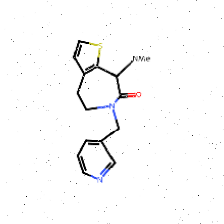 CNC1C(=O)N(Cc2cccnc2)CCc2ccsc21